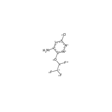 Nc1cc(Cl)nnc1OC(F)C(F)F